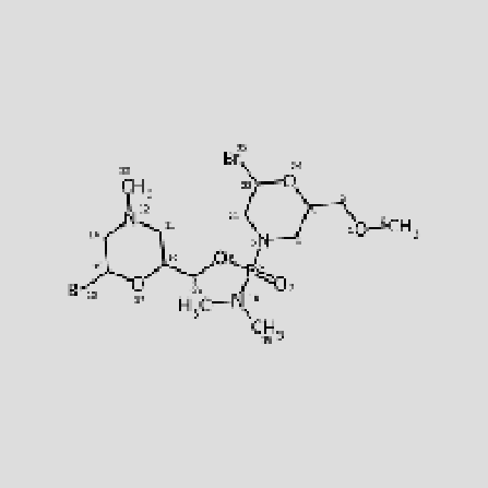 COCC1CN(P(=O)(OCC2CN(C)CC(Br)O2)N(C)C)CC(Br)O1